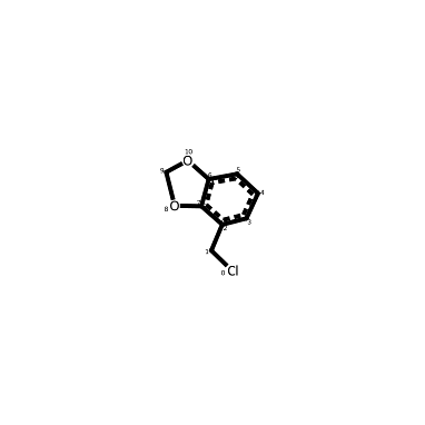 ClCc1cccc2c1OCO2